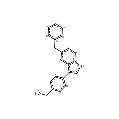 OCc1ccc(-c2cnc3ccc(Cc4ccccc4)nn23)cc1